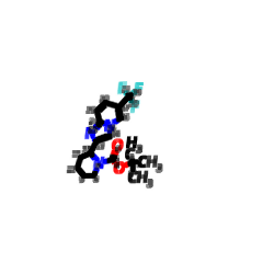 CC(C)(C)OC(=O)N1CCCCC1c1cn2cc(C(F)(F)F)ccc2n1